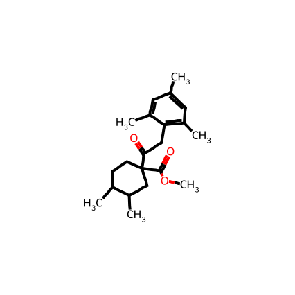 COC(=O)C1(C(=O)Cc2c(C)cc(C)cc2C)CCC(C)C(C)C1